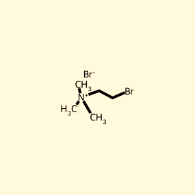 C[N+](C)(C)CCBr.[Br-]